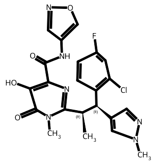 C[C@@H](c1nc(C(=O)Nc2cnoc2)c(O)c(=O)n1C)[C@H](c1cnn(C)c1)c1ccc(F)cc1Cl